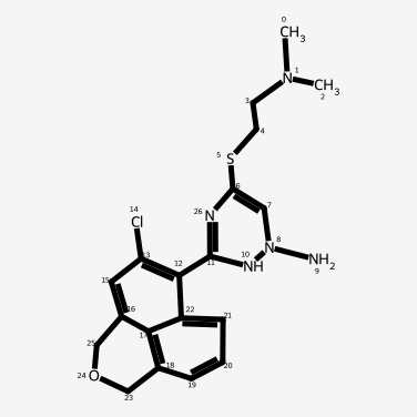 CN(C)CCSC1=CN(N)NC(c2c(Cl)cc3c4c(cccc24)COC3)=N1